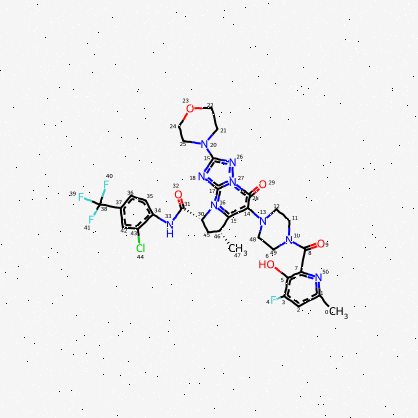 Cc1cc(F)c(O)c(C(=O)N2CCN(c3c4n(c5nc(N6CCOCC6)nn5c3=O)[C@@H](C(=O)Nc3ccc(C(F)(F)F)cc3Cl)C[C@H]4C)CC2)n1